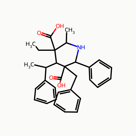 CCC1(C(=O)O)C(C)NC(c2ccccc2)C(Cc2ccccc2)(C(=O)O)C1C(C)c1ccccc1